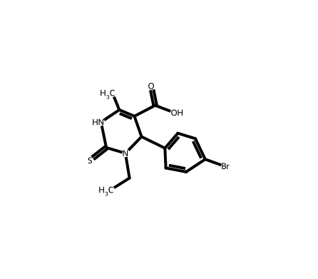 CCN1C(=S)NC(C)=C(C(=O)O)C1c1ccc(Br)cc1